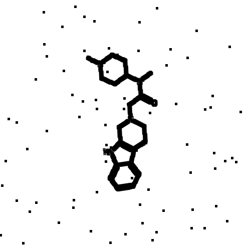 CN1CCC(N(C)C(=O)CN2CCc3c([nH]c4ccccc34)C2)CC1